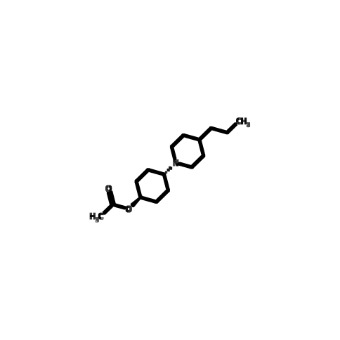 CCCC1CCN([C@H]2CC[C@H](OC(C)=O)CC2)CC1